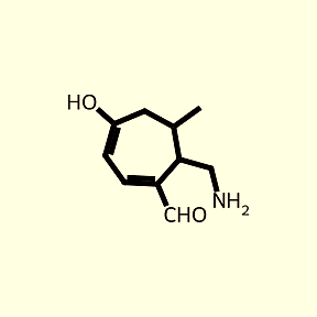 CC1CC(O)=CC=C(C=O)C1CN